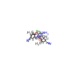 Cc1cc(C#N)cc(C)c1Oc1nc(N)c(Br)c(Oc2c(C)cc(C#N)cc2C)n1